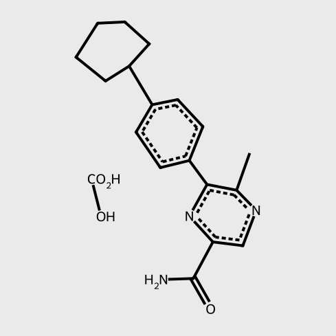 Cc1ncc(C(N)=O)nc1-c1ccc(C2CCCCC2)cc1.O=C(O)O